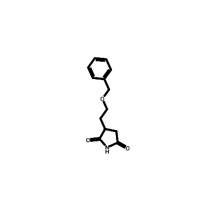 O=C1[CH][C](CCOCc2ccccc2)C(=O)N1